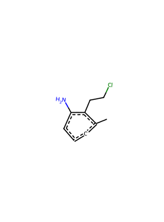 Cc1cccc(N)c1CCCl